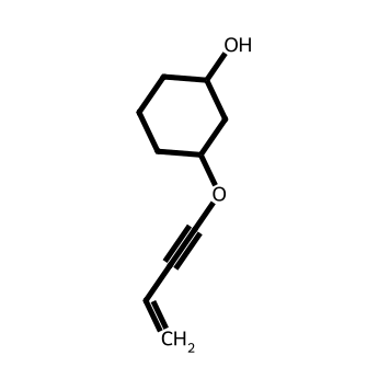 C=CC#COC1CCCC(O)C1